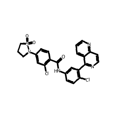 O=C(Nc1ccc(Cl)c(-c2nccc3ncccc23)c1)c1ccc(N2CCCS2(=O)=O)cc1Cl